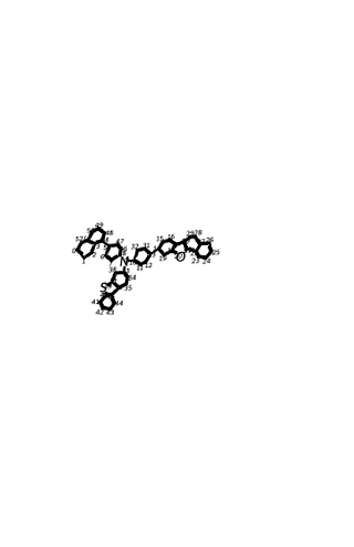 c1ccc2c(-c3ccc(N(c4ccc(-c5ccc6c(c5)oc5c7ccccc7ccc65)cc4)c4ccc5c(c4)sc4ccccc45)cc3)cccc2c1